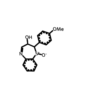 COc1ccc(C2C(O)C=Nc3ccccc3[S+]2[O-])cc1